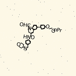 CCCOCCOc1ccc(-c2ccc3c(c2)C=C(C(=O)Nc2ccc(CN(C)C4CCOCC4)cc2)CCN3C=O)cc1